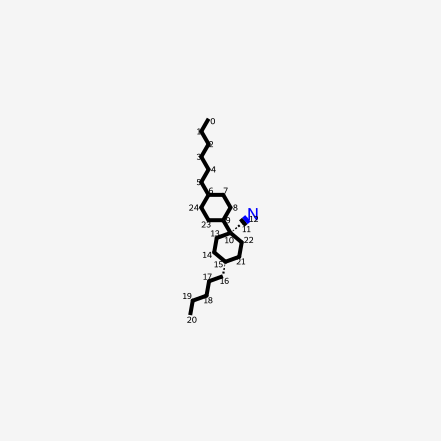 CCCCCCC1CCC([C@]2(C#N)CC[C@@H](CCCCC)CC2)CC1